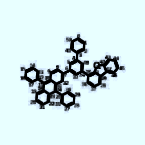 c1ccc(-c2cc(-c3ccc4c(-c5ccccc5)c5ccccc5c(-c5ccccc5)c4c3)cc(-c3cccc4c3oc3ccccc34)c2)cc1